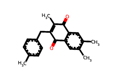 CC1=C(Cc2ccc(C)cc2)C(=O)c2cc(C)c(C)cc2C1=O